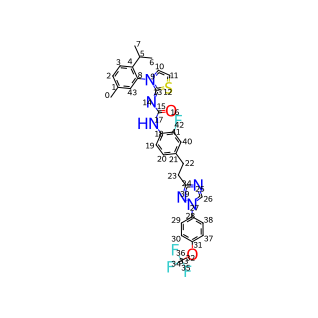 Cc1ccc(C(C)C)c(-n2ccsc2=NC(=O)Nc2ccc(CCc3ncn(-c4ccc(OC(F)(F)F)cc4)n3)cc2F)c1